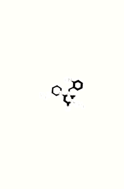 [C-]#[N+]c1ccccc1Cn1c(N2CCC[C@@H](C)C2)cc(=O)n(C)c1=O